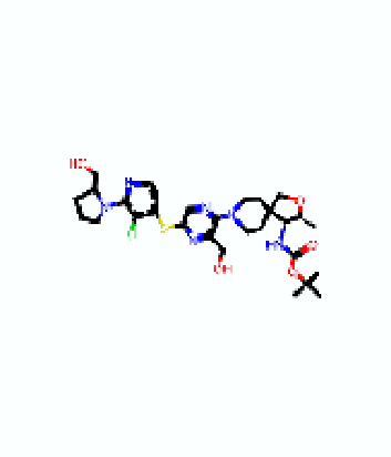 C[C@@H]1OCC2(CCN(c3ncc(Sc4ccnc(N5CCCC5CO)c4Cl)nc3CO)CC2)[C@@H]1NC(=O)OC(C)(C)C